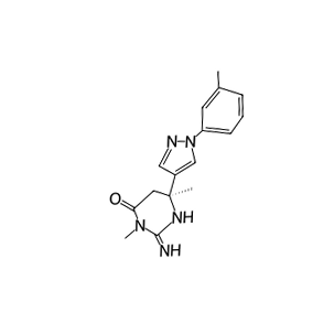 Cc1cccc(-n2cc([C@]3(C)CC(=O)N(C)C(=N)N3)cn2)c1